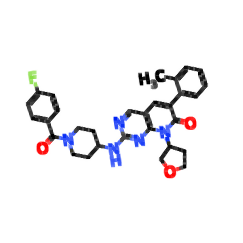 Cc1ccccc1-c1cc2cnc(NC3CCN(C(=O)c4ccc(F)cc4)CC3)nc2n([C@H]2CCOC2)c1=O